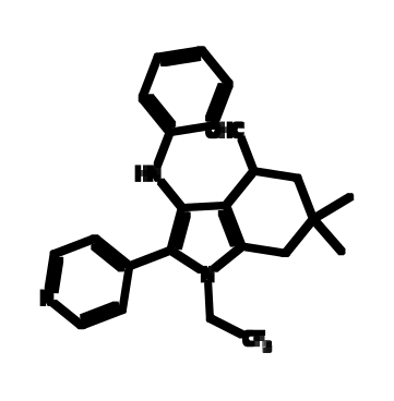 CC1(C)Cc2c(c(Nc3ccccc3)c(-c3ccncc3)n2CC(F)(F)F)C(C=O)C1